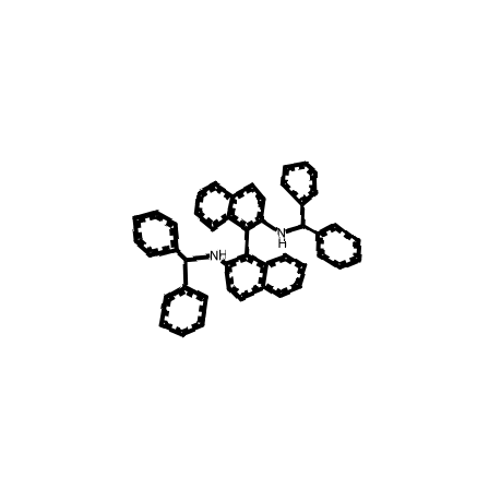 c1ccc(C(Nc2ccc3ccccc3c2-c2c(NC(c3ccccc3)c3ccccc3)ccc3ccccc23)c2ccccc2)cc1